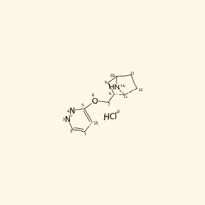 Cl.c1cnnc(OCC2CC3CCC2N3)c1